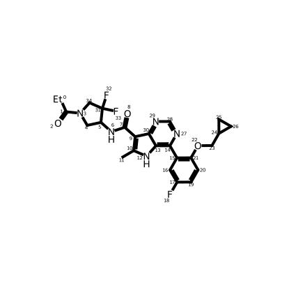 CCC(=O)N1CC(NC(=O)c2c(C)[nH]c3c(-c4cc(F)ccc4OCC4CC4)ncnc23)C(F)(F)C1